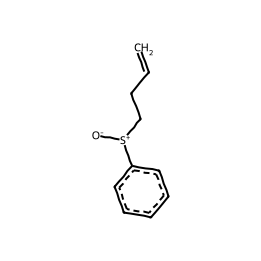 C=CCC[S+]([O-])c1ccccc1